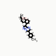 BC(/C=C\c1c(C)cccc1-c1cnn2cc(-c3ccc(C)cc3)cnc12)=C\CC